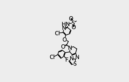 CS(=O)(=O)Nc1ccc(OCC(=O)N2CCc3nc4sccn4c3C2c2ccc(Cl)cc2F)c(Cl)n1